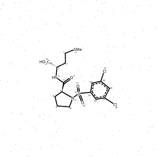 CSCC[C@H](NC(=O)[C@@H]1CCCN1S(=O)(=O)c1cc(Cl)cc(Cl)c1)C(=O)O